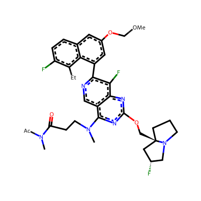 CCc1c(F)ccc2cc(OCOC)cc(-c3ncc4c(N(C)CCC(=O)N(C)C(C)=O)nc(OC[C@@]56CCCN5C[C@H](F)C6)nc4c3F)c12